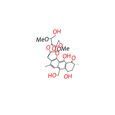 COC(CO)C12OC3c4c(C)cc5c(CO)c6c(c(O)c5c4OC(OC)(C3O1)C21CO1)C(=O)[C@H](C)C[C@@H]6O